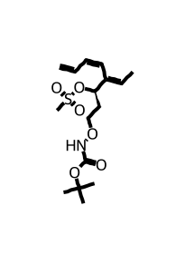 C=C/C=C\C(=C/C)[C@@H](CCONC(=O)OC(C)(C)C)OS(C)(=O)=O